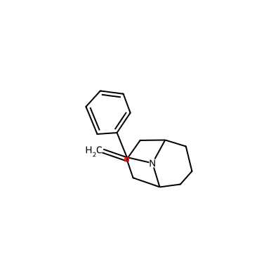 C=C1CC2CCCC(C1)N2Cc1ccccc1